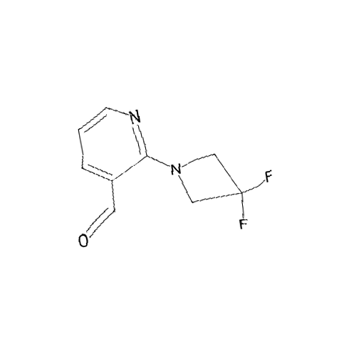 O=Cc1cccnc1N1CC(F)(F)C1